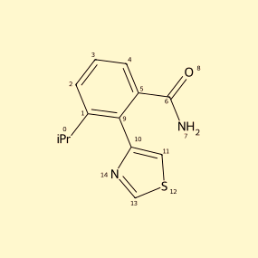 CC(C)c1cccc(C(N)=O)c1-c1cscn1